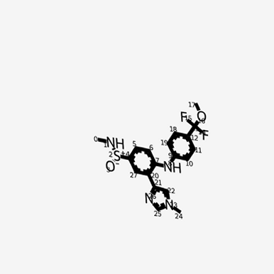 CN[S+]([O-])c1ccc(Nc2ccc(C(F)(F)OC)cc2)c(-c2cn(C)cn2)c1